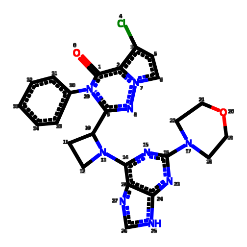 O=c1c2c(Cl)ccn2nc(C2CCN2c2nc(N3CCOCC3)nc3[nH]cnc23)n1-c1ccccc1